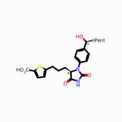 CCCCC[C@H](O)c1ccc(N2C(=O)NC(=O)[C@H]2CCCc2ccc(C(=O)O)s2)cc1